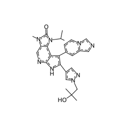 CC(C)n1c(=O)n(C)c2cnc3[nH]c(-c4cnn(CC(C)(C)O)c4)c(-c4ccn5cncc5c4)c3c21